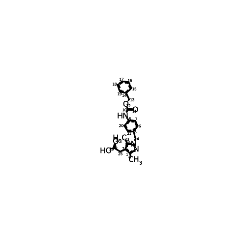 Cc1nn(Cc2ccc(NC(=O)OCc3ccccc3)cc2)c(C)c1CC(=O)O